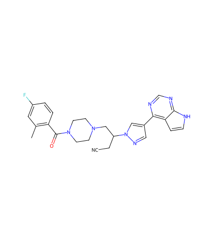 Cc1cc(F)ccc1C(=O)N1CCN(CC(CC#N)n2cc(-c3ncnc4[nH]ccc34)cn2)CC1